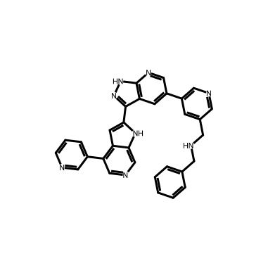 c1ccc(CNCc2cncc(-c3cnc4[nH]nc(-c5cc6c(-c7cccnc7)cncc6[nH]5)c4c3)c2)cc1